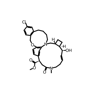 COC(=O)[C@@H]1CC(=O)N(C)CC/C=C/[C@H](O)[C@@H]2CC[C@H]2CN2CCCCc3cc(Cl)ccc3COc3ccc1cc32